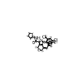 O=C(NN1CCCC1)c1nn(-c2ccc(Cl)cc2Cl)c2c1COC/C2=C/c1ccc(Cl)s1